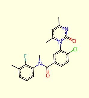 Cc1cc(C)n(-c2cc(C(=O)N(C)c3cccc(C)c3F)ccc2Cl)c(=O)n1